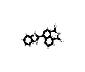 O=C1NC(=O)c2ccc(-c3nc4ccccc4o3)c3cccc1c23